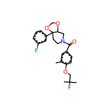 Cc1cc(C(=O)N2CCC3(c4cccc(F)c4)OCOC3C2)ccc1OCC(C)(C)F